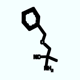 CC(N)(C#N)COCc1ccccc1